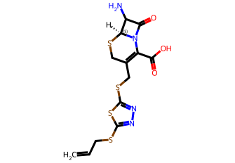 C=CCSc1nnc(SCC2=C(C(=O)O)N3C(=O)C(N)[C@@H]3SC2)s1